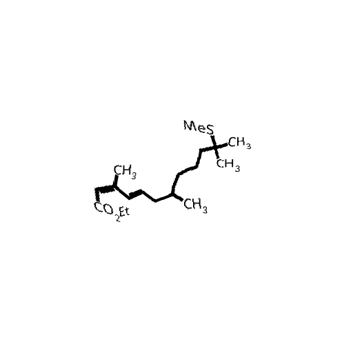 CCOC(=O)C=C(C)C=CCC(C)CCCC(C)(C)SC